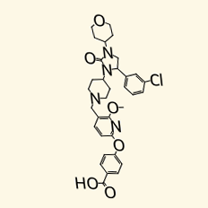 COc1nc(Oc2ccc(C(=O)O)cc2)ccc1CN1CCC(N2C(=O)N(C3CCOCC3)CC2c2cccc(Cl)c2)CC1